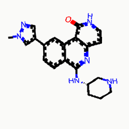 Cn1cc(-c2ccc3c(N[C@H]4CCCNC4)nc4cc[nH]c(=O)c4c3c2)cn1